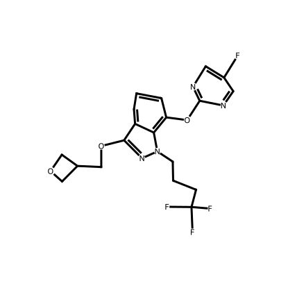 Fc1cnc(Oc2cccc3c(OCC4COC4)nn(CCCC(F)(F)F)c23)nc1